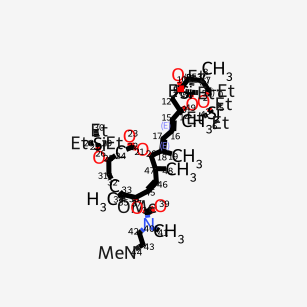 CC[C@H](O[Si](CC)(CC)CC)[C@@H](C)[C@H]1O[C@@H]1CC(C)(/C=C/C=C(\C)C1OC(=O)CC(O[Si](CC)(CC)CC)CCC(C)(OC)C(OC(=O)N(C)CCNC)C=CC1C)O[Si](CC)(CC)CC